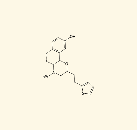 CCCN1CC(CCc2cccs2)OC2c3cc(O)ccc3CCC21